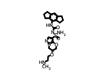 CNCCO[C@@H]1COc2c([S@@](N)(=O)=NC(=O)Nc3c4c(cc5c3CCC5)CCC4)cnn2C1